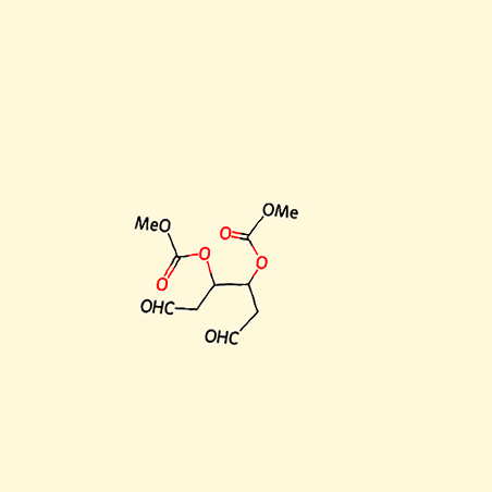 COC(=O)OC(CC=O)C(CC=O)OC(=O)OC